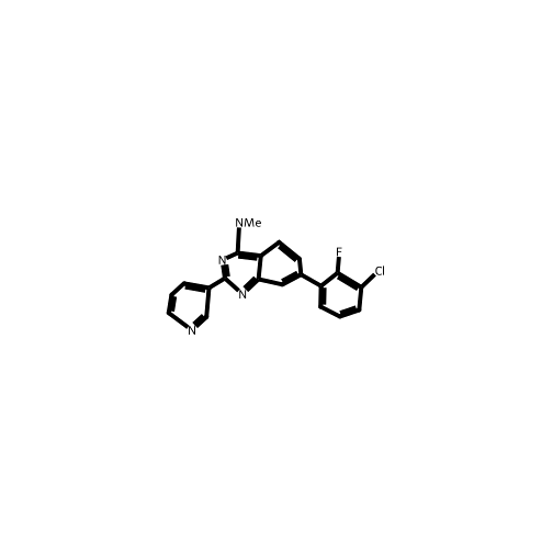 CNc1nc(-c2cccnc2)nc2cc(-c3cccc(Cl)c3F)ccc12